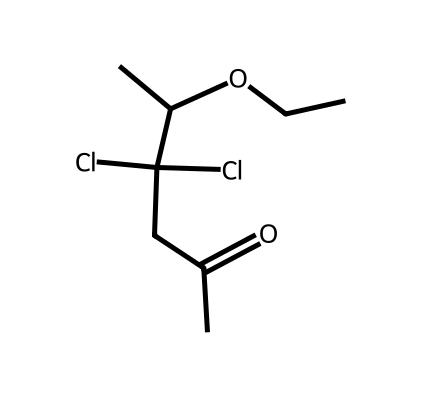 CCOC(C)C(Cl)(Cl)CC(C)=O